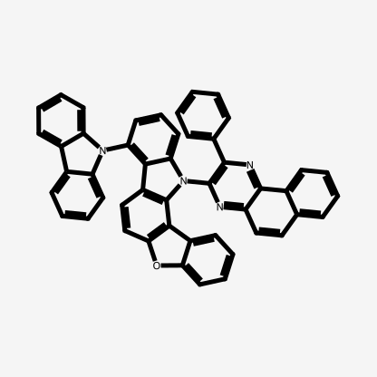 c1ccc(-c2nc3c(ccc4ccccc43)nc2-n2c3cccc(-n4c5ccccc5c5ccccc54)c3c3ccc4oc5ccccc5c4c32)cc1